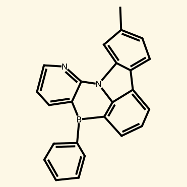 Cc1ccc2c3cccc4c3n(c2c1)-c1ncccc1B4c1ccccc1